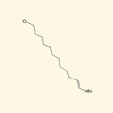 CCCCC=CCCCCCCCCCC[O]